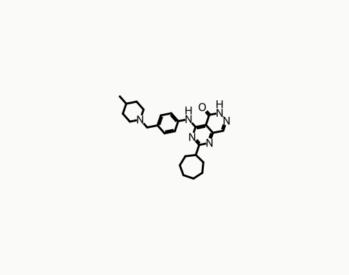 CC1CCN(Cc2ccc(Nc3nc(C4CCCCCC4)nc4cn[nH]c(=O)c34)cc2)CC1